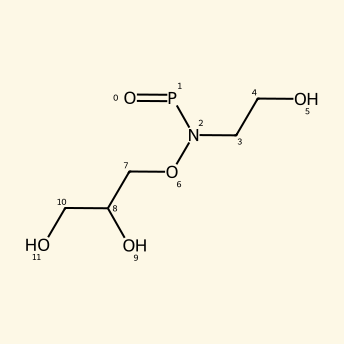 O=PN(CCO)OCC(O)CO